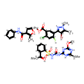 CC(C)OC(=O)c1cc(-c2nn(C)c(C(F)(F)F)c2Br)c(F)cc1Cl.CCOc1nc(NC)nc(NC(=O)NS(=O)(=O)c2ccccc2C(=O)OC)n1.Cc1occc1C(=O)Nc1ccccc1